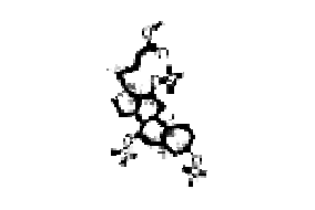 COC(=O)CC[C@@H](C)[C@H]1CCC2C3C(O[Si](C)(C)C)=C[C@@H]4C[C@H](O[Si](C)(C)C)CC[C@]4(C)C3C[C@H](O[Si](C)(C)C)[C@@]21C